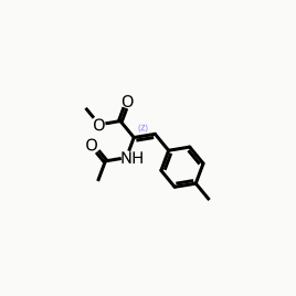 COC(=O)/C(=C/c1ccc(C)cc1)NC(C)=O